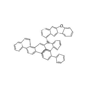 c1ccc(-c2ccccc2-c2ccccc2N(c2ccc3ccc4c5ccccc5ccc4c3c2)c2cccc3cc4oc5ccccc5c4cc23)cc1